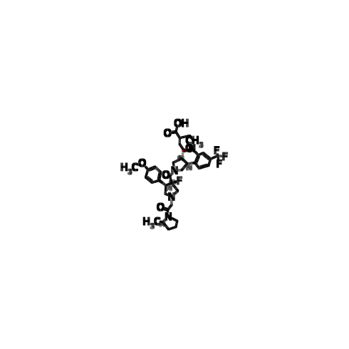 COC[C@H]1CN(C(=O)[C@]2(F)CN(CC(=O)N3CCC[C@H]3C)C[C@H]2c2ccc(OC)cc2)C[C@@H]1c1ccc(C(F)(F)F)cc1N1CCC(C(=O)O)CC1